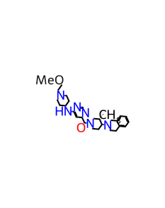 COCCN1CCC(Nc2cc(C(=O)N3CC[C@H](N4CCc5ccccc5C4)[C@@H](C)C3)ncn2)CC1